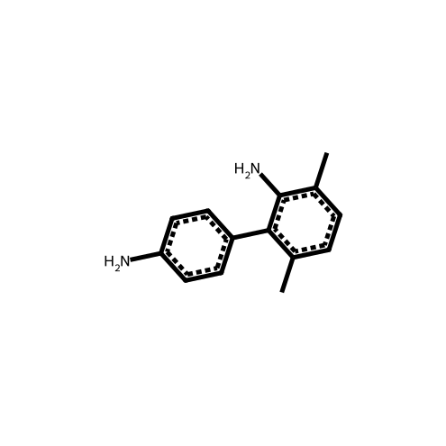 Cc1ccc(C)c(-c2ccc(N)cc2)c1N